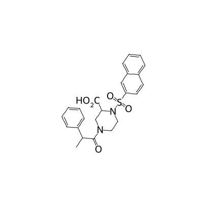 CC(C(=O)N1CCN(S(=O)(=O)c2ccc3ccccc3c2)C(C(=O)O)C1)c1ccccc1